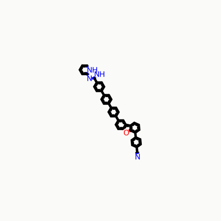 N#Cc1ccc(-c2cccc3c2oc2ccc(-c4ccc(-c5ccc(-c6ccc(C(=N)/N=c7/cccc[nH]7)cc6)cc5)cc4)cc23)cc1